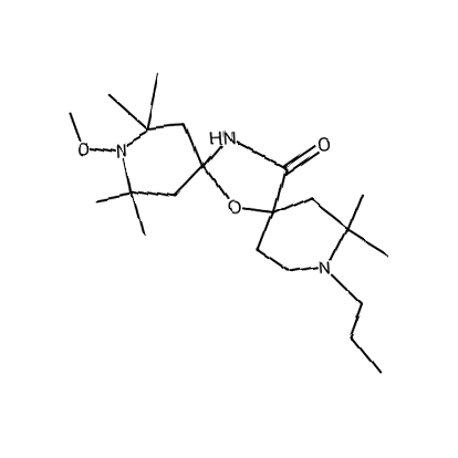 CCCN1CCC2(CC1(C)C)OC1(CC(C)(C)N(OC)C(C)(C)C1)NC2=O